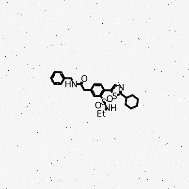 CCNS(=O)(=O)c1cc(CC(=O)NCc2ccccc2)ccc1-c1cnc(C2CCCCC2)s1